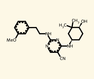 COc1cccc(CCNc2ncc(C#N)c(N[C@@H]3CC[C@H](O)C(C)(C)C3)n2)c1